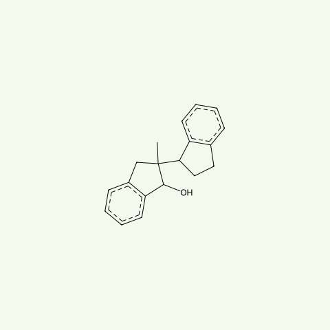 CC1(C2CCc3ccccc32)Cc2ccccc2C1O